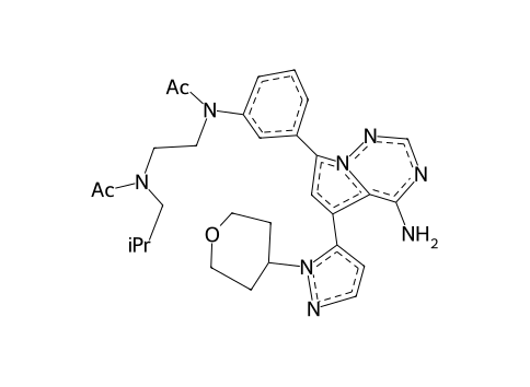 CC(=O)N(CCN(C(C)=O)c1cccc(-c2cc(-c3ccnn3C3CCOCC3)c3c(N)ncnn23)c1)CC(C)C